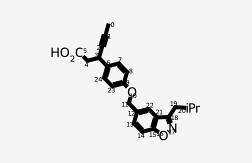 CC#CC(CC(=O)O)c1ccc(OCc2ccc3onc(CC(C)C)c3c2)cc1